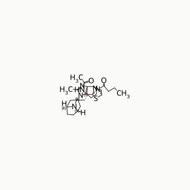 CCCC(=O)N1CCc2c(nc(C)n2[C@H]2C[C@H]3CC[C@@H](C2)N3CC[C@H](NC(C)=O)c2nccs2)C1